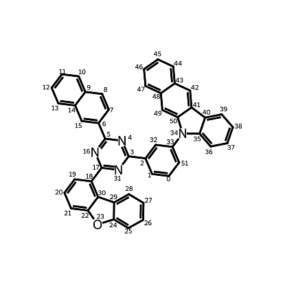 c1cc(-c2nc(-c3ccc4ccccc4c3)nc(-c3cccc4oc5ccccc5c34)n2)cc(-n2c3ccccc3c3cc4ccccc4cc32)c1